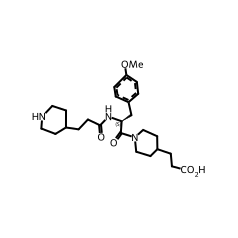 COc1ccc(C[C@H](NC(=O)CCC2CCNCC2)C(=O)N2CCC(CCC(=O)O)CC2)cc1